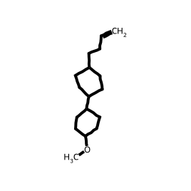 C=CCCC1CCC(C2CCC(OC)CC2)CC1